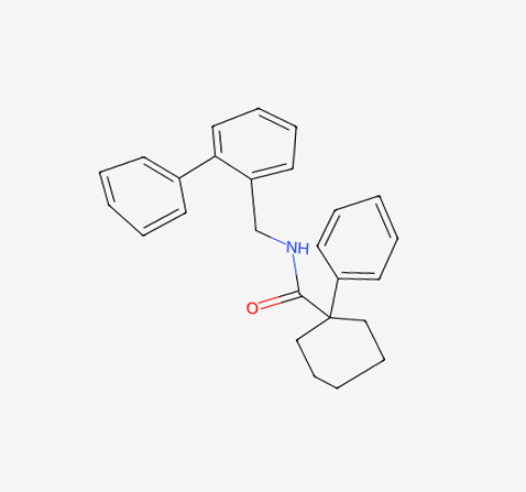 O=C(NCc1ccccc1-c1ccccc1)C1(c2ccccc2)CCCCC1